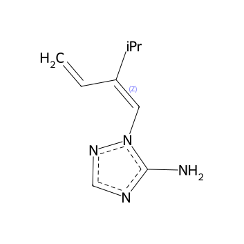 C=C/C(=C\n1ncnc1N)C(C)C